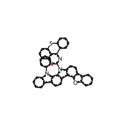 c1ccc(-n2c3ccccc3c3ccc4c5c6oc7ccccc7c6ccc5n(-c5nc6c7c(cccc7n5)Sc5ccccc5-6)c4c32)cc1